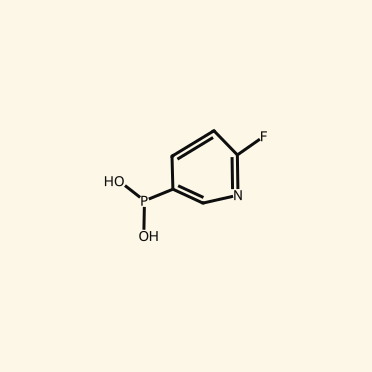 OP(O)c1ccc(F)nc1